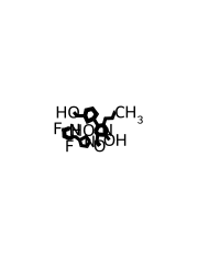 CCCCc1nc(O)c(C(=O)N2CCC(c3ncc(F)cc3F)C2)c(O)c1-c1cccc(CO)c1